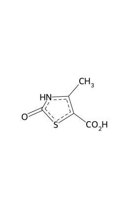 Cc1[nH]c(=O)sc1C(=O)O